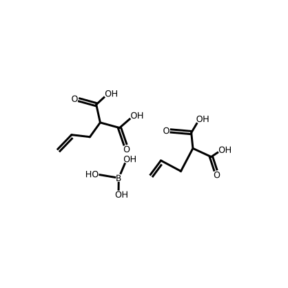 C=CCC(C(=O)O)C(=O)O.C=CCC(C(=O)O)C(=O)O.OB(O)O